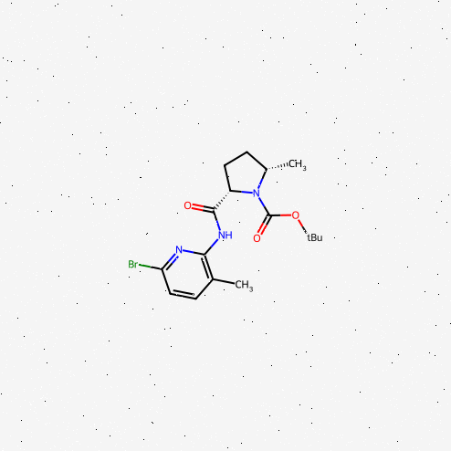 Cc1ccc(Br)nc1NC(=O)[C@@H]1CC[C@H](C)N1C(=O)OC(C)(C)C